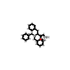 c1ccc(CC(c2c[nH]nn2)N(Cc2ccccc2)Cc2ccccc2)cc1